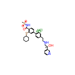 CS(=O)(=O)NC(=O)c1ccc(-c2ccc(CCNC[C@H](O)c3cccnc3)cc2)cc1SC1CCCCC1.Cl.Cl